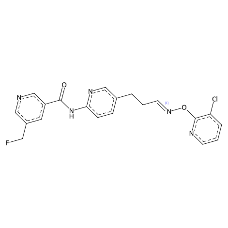 O=C(Nc1ccc(CC/C=N/Oc2ncccc2Cl)cn1)c1cncc(CF)c1